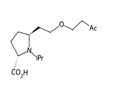 CC(=O)CCOCC[C@@H]1CC[C@@H](C(=O)O)N1C(C)C